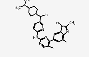 CCC(c1ccc(Nc2ncc(F)c(-c3cc(F)c4nc(C)n(C(C)C)c4c3)n2)nc1)N1CCC(N(C)C)CC1